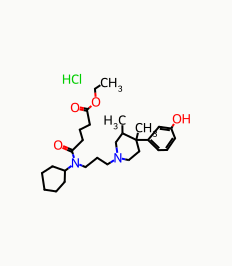 CCOC(=O)CCCC(=O)N(CCCN1CCC(C)(c2cccc(O)c2)C(C)C1)C1CCCCC1.Cl